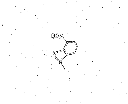 CCOC(=O)c1cccc2c1ncn2C